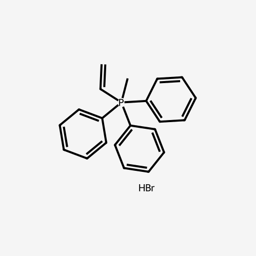 Br.C=CP(C)(c1ccccc1)(c1ccccc1)c1ccccc1